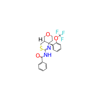 O=C(NC1=N[C@@]2(c3ccccc3OC(F)(F)F)CCOC[C@@H]2CS1)c1ccccc1